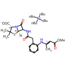 CCCC[N+](CCCC)(CCCC)CCCC.COC(=O)/C=C(\C)Nc1ccccc1CC(=O)NC1C(=O)N2[C@@H]1SC(C)(C)[C@@H]2C(=O)[O-]